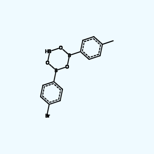 Cc1ccc(B2OBOB(c3ccc(Br)cc3)O2)cc1